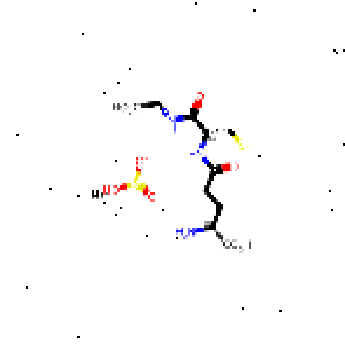 N[C@@H](CCC(=O)N[C@@H](CS)C(=O)NCC(=O)O)C(=O)O.O=S([O-])O.[Na+]